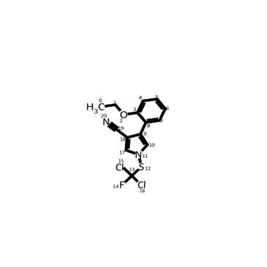 CCOc1ccccc1-c1cn(SC(F)(Cl)Cl)cc1C#N